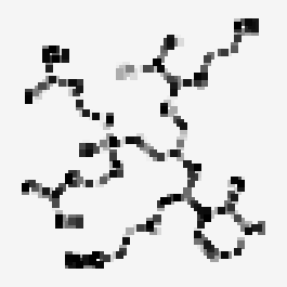 COCCOC[C@@H](O[C@H](/C=C/P(=O)(OCOC(=O)C(C)(C)C)OCOC(=O)C(C)(C)C)COP(OCCC#N)N(C(C)C)C(C)C)N1C=CCNC1=O